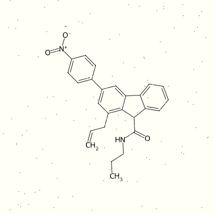 C=CCc1cc(-c2ccc([N+](=O)[O-])cc2)cc2c1C(C(=O)NCCC)c1ccccc1-2